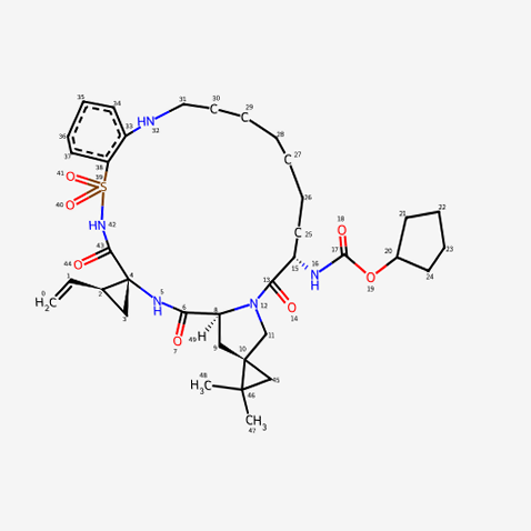 C=C[C@@H]1C[C@@]12NC(=O)[C@@H]1C[C@@]3(CN1C(=O)[C@@H](NC(=O)OC1CCCC1)CCCCCCCNc1ccccc1S(=O)(=O)NC2=O)CC3(C)C